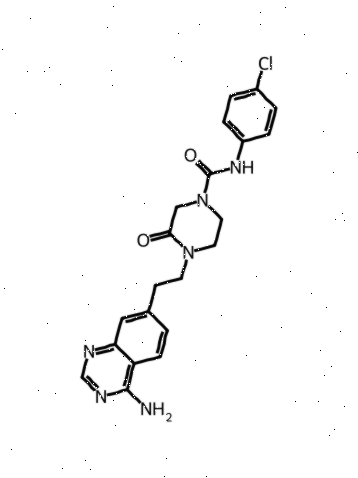 Nc1ncnc2cc(CCN3CCN(C(=O)Nc4ccc(Cl)cc4)CC3=O)ccc12